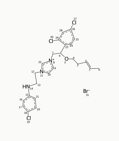 CC=CCCOC(C[n+]1ccn(CCNc2ccc(Cl)cc2)c1)c1ccc(Cl)cc1Cl.[Br-]